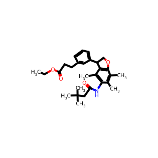 CCOC(=O)CCc1cccc(C2COc3c(C)c(C)c(NC(=O)CC(C)(C)C)c(C)c32)c1